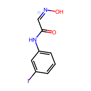 O=C(/C=N\O)Nc1cccc(I)c1